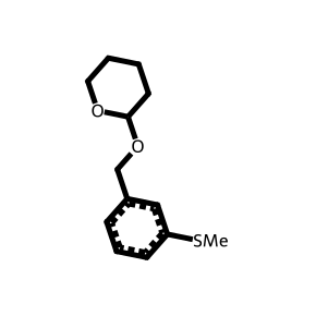 CSc1cccc(COC2CCCCO2)c1